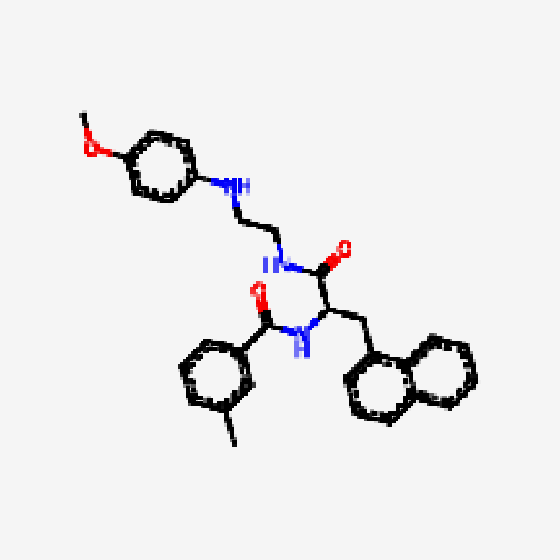 COc1ccc(NCCNC(=O)C(Cc2cccc3ccccc23)NC(=O)c2cccc(C)c2)cc1